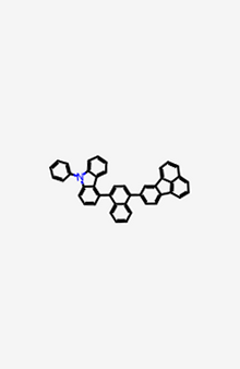 c1ccc(-n2c3ccccc3c3c(-c4ccc(-c5ccc6c(c5)-c5cccc7cccc-6c57)c5ccccc45)cccc32)cc1